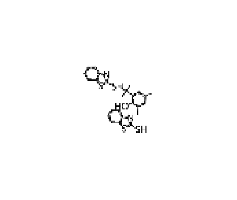 Cc1cc(C)c(O)c(C(C)(C)C)c1.Sc1nc2ccccc2s1.Sc1nc2ccccc2s1